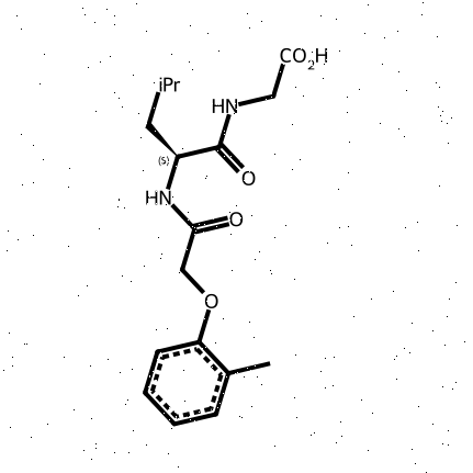 Cc1ccccc1OCC(=O)N[C@@H](CC(C)C)C(=O)NCC(=O)O